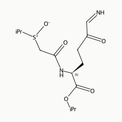 CC(C)OC(=O)[C@H](CCC(=O)C=N)NC(=O)C[S+]([O-])C(C)C